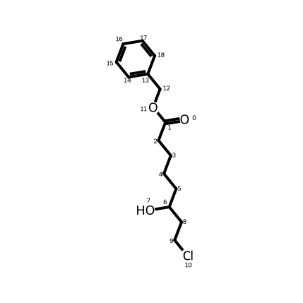 O=C(CCCCC(O)CCCl)OCc1ccccc1